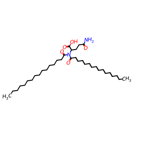 CCCCCCCCCCCCCCCC(=O)N(C(=O)CCCCCCCCCCCCCCC)C(CCC(N)=O)C(=O)O